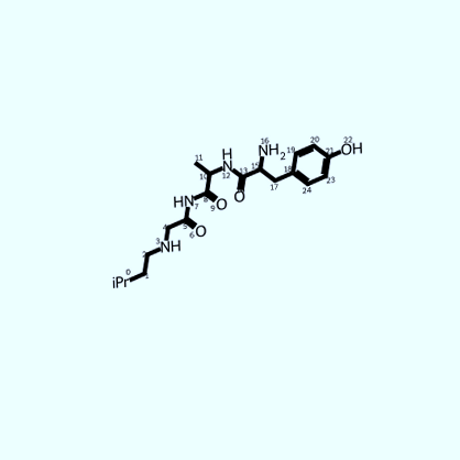 CC(C)CCNCC(=O)NC(=O)C(C)NC(=O)C(N)Cc1ccc(O)cc1